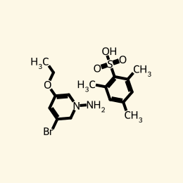 CCOC1=CN(N)CC(Br)=C1.Cc1cc(C)c(S(=O)(=O)O)c(C)c1